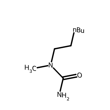 [CH2]CCCCCN(C)C(N)=O